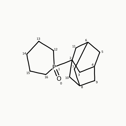 O=P1(C23CC4CC(CC(C4)C2)C3)CCCCC1